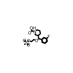 CS(=O)(=O)OCCO[C@@H](c1cccc(F)c1)C1CCCN(C(=O)O)C1